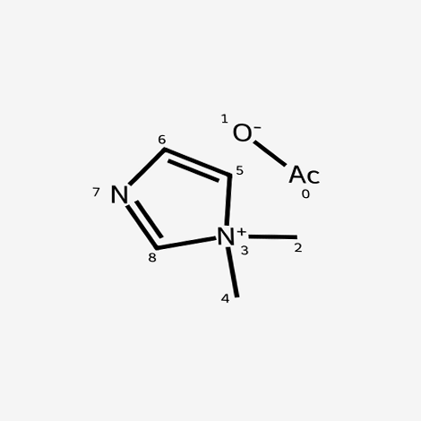 CC(=O)[O-].C[N+]1(C)C=CN=C1